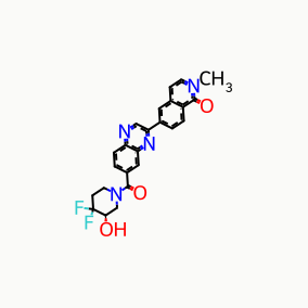 Cn1ccc2cc(-c3cnc4ccc(C(=O)N5CCC(F)(F)[C@H](O)C5)cc4n3)ccc2c1=O